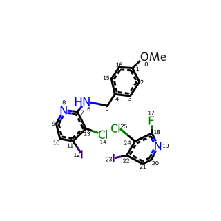 COc1ccc(CNc2nccc(I)c2Cl)cc1.Fc1nccc(I)c1Cl